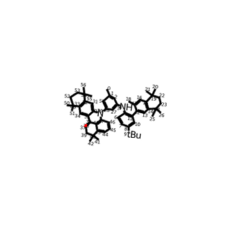 Cc1cc(Nc2ccc(C(C)(C)C)cc2-c2cc3c(cc2C)C(C)(C)CCC3(C)C)cc(N2c3cc4c(cc3C3(C)CCC(C)(C)c5cccc2c53)C(C)(C)CCC4(C)C)c1